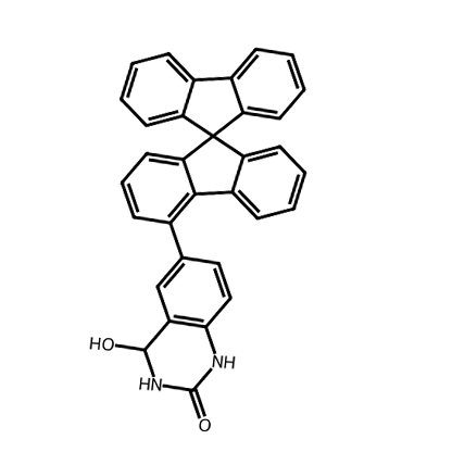 O=C1Nc2ccc(-c3cccc4c3-c3ccccc3C43c4ccccc4-c4ccccc43)cc2C(O)N1